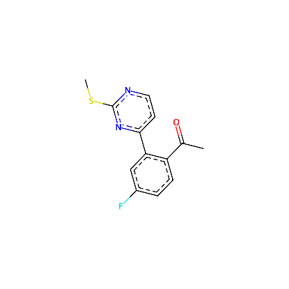 CSc1nccc(-c2cc(F)ccc2C(C)=O)n1